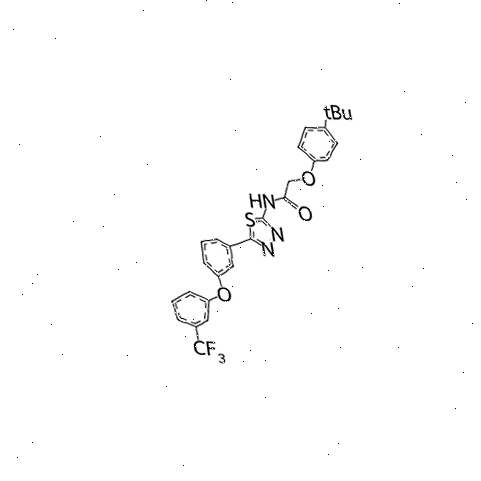 CC(C)(C)c1ccc(OCC(=O)Nc2nnc(-c3cccc(Oc4cccc(C(F)(F)F)c4)c3)s2)cc1